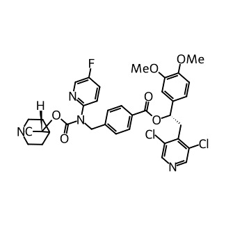 COc1ccc([C@H](Cc2c(Cl)cncc2Cl)OC(=O)c2ccc(CN(C(=O)O[C@H]3CN4CCC3CC4)c3ccc(F)cn3)cc2)cc1OC